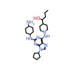 CCCC(O)C1CCN(Nc2nc(NC3CCC(N)CC3)nc3c2ncn3C2CCCC2)CC1